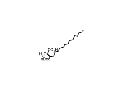 CCCCCCCCCCC(CCCCCCCCCCCCF)=C(C)C(=O)O